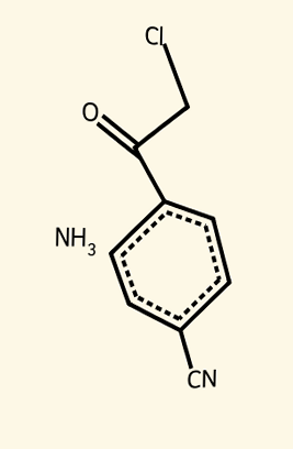 N.N#Cc1ccc(C(=O)CCl)cc1